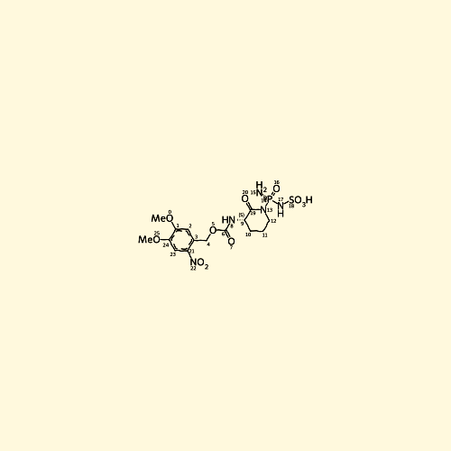 COc1cc(COC(=O)N[C@H]2CCCN([P@@](N)(=O)NS(=O)(=O)O)C2=O)c([N+](=O)[O-])cc1OC